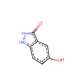 O=c1[nH][nH]c2ccc(O)cc12